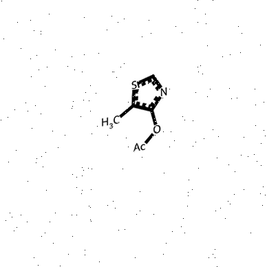 CC(=O)Oc1ncsc1C